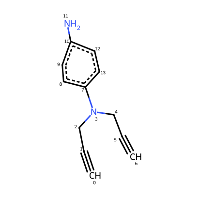 C#CCN(CC#C)c1ccc(N)cc1